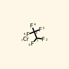 FC(F)C(F)(F)F.[Cr]